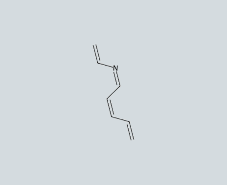 C=C/C=C\C=N/C=C